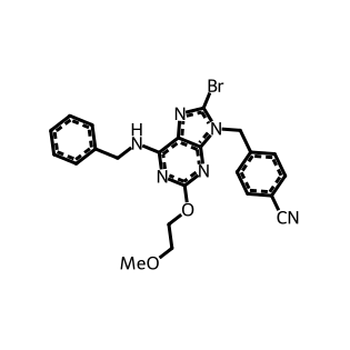 COCCOc1nc(NCc2ccccc2)c2nc(Br)n(Cc3ccc(C#N)cc3)c2n1